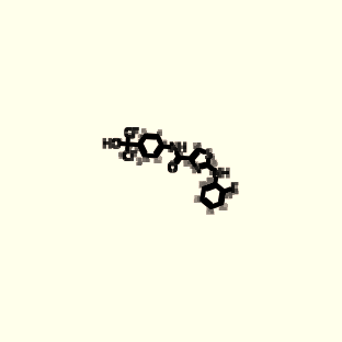 O=C(Nc1ccc(C(O)(C(F)(F)F)C(F)(F)F)cc1)c1csc(Nc2ccccc2F)n1